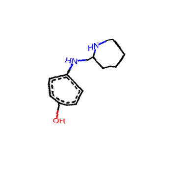 Oc1ccc(NC2CCCCN2)cc1